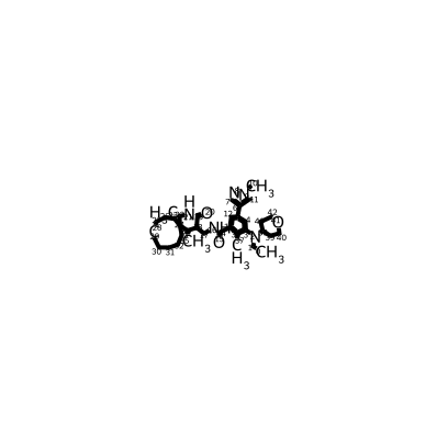 CCN(c1cc(-c2cnn(C)c2)cc(C(=O)NCC2C(=O)NC(C)C3(CCCCCCCCC3)C2C)c1C)C1CCOCC1